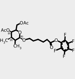 CC(=O)OCC1O[C@@H](OCCCCCC(=O)Oc2c(F)c(F)c(F)c(F)c2F)C(C)[C@@H](C)[C@H]1OC(C)=O